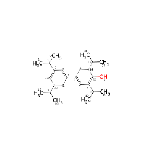 CC(C)c1cc(-c2cc(C(C)C)c(O)c(C(C)C)c2)cc(C(C)C)c1